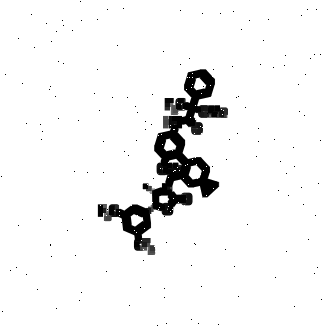 COc1ccc(NC(=O)[C@@](OC)(c2ccccc2)C(F)(F)F)cc1C1=C(CN2C(=O)O[C@H](c3cc(C(F)(F)F)cc(C(F)(F)F)c3)[C@@H]2C)CC2(CC1)CC2